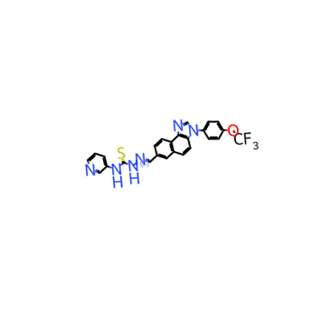 FC(F)(F)Oc1ccc(-n2cnc3c4ccc(/C=N/NC(=S)Nc5cccnc5)cc4ccc32)cc1